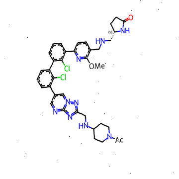 COc1nc(-c2cccc(-c3cccc(-c4cnc5nc(CNC6CCN(C(C)=O)CC6)nn5c4)c3Cl)c2Cl)ccc1CNC[C@@H]1CCC(=O)N1